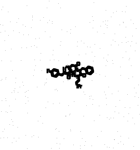 CC(C)CCN1C[C@H]2N(C(=O)CN(C)N2C(=O)NCc2ccc(F)cc2)[C@@H](Cc2ccccc2)C1=O